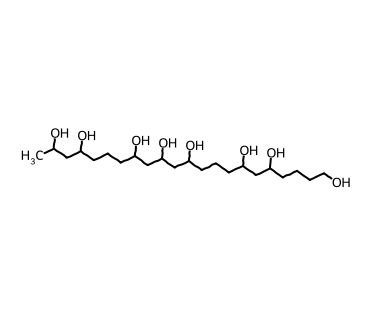 CC(O)CC(O)CCCC(O)CC(O)CC(O)CCCC(O)CC(O)CCCCO